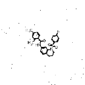 Cc1ccc(C(=O)Nc2ccc3c(c2)N(S(=O)(=O)c2ccc(F)cc2)CCC3)c(C)c1